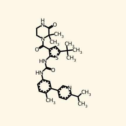 Cc1ccc(NC(=O)Nc2sc(C(C)(C)C)cc2C(=O)N2CCNC(=O)C2(C)C)cc1-c1ccc(C(C)C)nc1